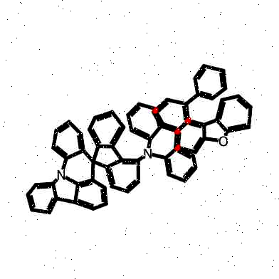 c1ccc(-c2cccc(-c3ccccc3N(c3ccccc3-c3ccc4oc5ccccc5c4c3)c3cccc4c3-c3ccccc3C43c4ccccc4-n4c5ccccc5c5cccc3c54)c2)cc1